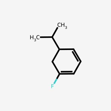 CC(C)C1C=CC=C(F)C1